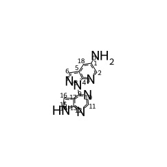 Nc1cnc2c(cnn2-c2ncnc3[nH]ccc23)c1